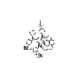 CC(C)(C)c1cc(N2c3cccc(-c4ccccc4)c3B3c4c(C5=CCCC=C5)cccc4N(c4ccc([Si](C)(C)I)cc4)c4cc(N(c5ccccc5)c5ccccc5)cc2c43)cc(C(C)(C)C)c1